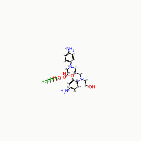 Cl.Cl.Cl.Cl.Nc1ccc(N(CCO)CC(O)CN(CCO)c2ccc(N)cc2)cc1.O